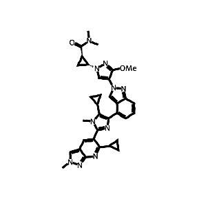 COc1nn([C@@H]2C[C@H]2C(=O)N(C)C)cc1-n1cc2c(-c3nc(-c4cc5cn(C)nc5nc4C4CC4)n(C)c3C3CC3)cccc2n1